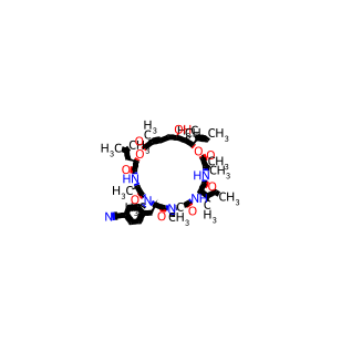 C/C=C(\C)[C@H]1OC(=O)C(C)(C)NC(=O)[C@H]([C@H](C)CC)NC(=O)CN(C)C(=O)[C@@H](Cc2ccc(C#N)cc2)N(C)C(=O)[C@H](C)NC(=O)[C@@H](CC(C)C)OC(=O)/C(C)=C/C[C@H](O)[C@@H]1C